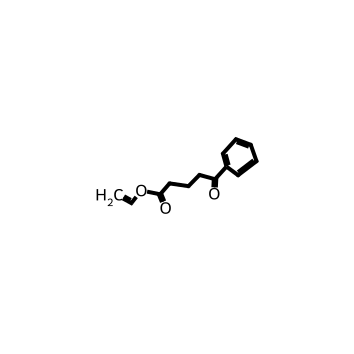 C=COC(=O)CCCC(=O)c1ccccc1